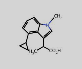 CC(C(=O)O)c1cn(C)c2cccc(C3CC3)c12